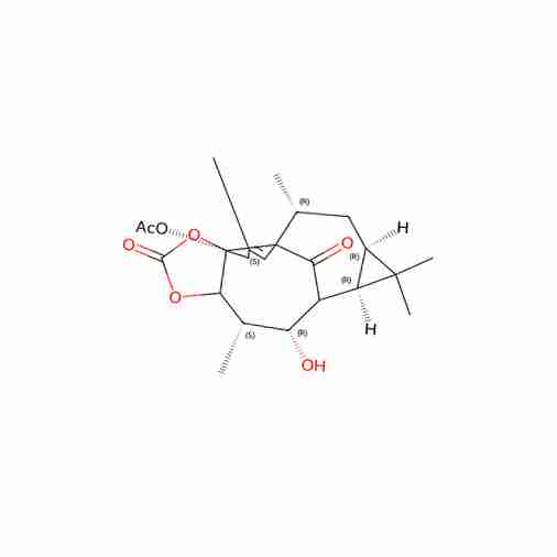 CC(=O)O[C@H]1C(C)=CC23C(=O)C([C@H](O)[C@H](C)C4OC(=O)OC412)[C@H]1[C@@H](C[C@H]3C)C1(C)C